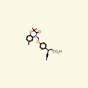 CC#CC(CC(=O)O)c1ccc(OCN2C(=O)C(C)(C)Oc3ccc(C)cc32)cc1